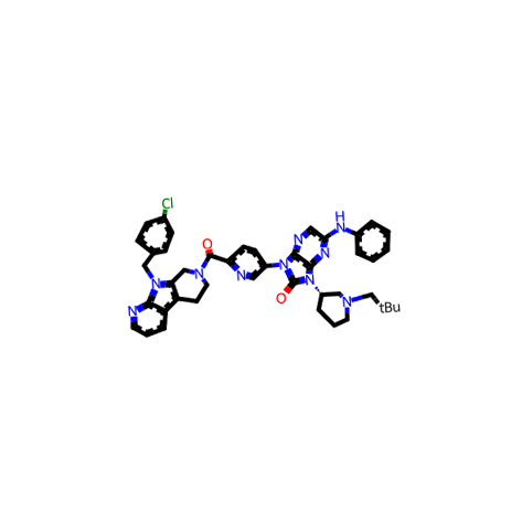 CC(C)(C)CN1CCC[C@H](n2c(=O)n(-c3ccc(C(=O)N4CCc5c(n(Cc6ccc(Cl)cc6)c6ncccc56)C4)nc3)c3ncc(Nc4ccccc4)nc32)C1